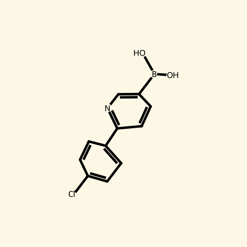 OB(O)c1ccc(-c2ccc(Cl)cc2)nc1